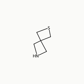 C1NCC12CSC2